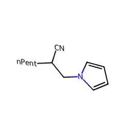 CCCCCC(C#N)Cn1cccc1